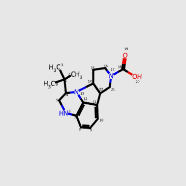 CC(C)(C)C1CNc2cccc3c2N1C1CCN(C(=O)O)CC31